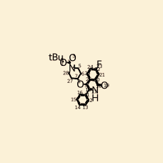 CC(C)(C)OC(=O)N1CCC(Oc2c(-c3ccccc3)[nH]c(=O)c3cc(F)ccc23)CC1